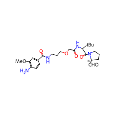 COc1cc(C(=O)NCCCOCC(=O)NC(C(=O)N2CCC[C@H]2C=O)C(C)(C)C)ccc1N